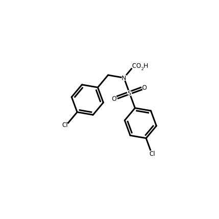 O=C(O)N(Cc1ccc(Cl)cc1)S(=O)(=O)c1ccc(Cl)cc1